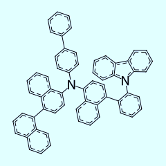 c1ccc(-c2ccc(N(c3ccc(-c4ccccc4-n4c5ccccc5c5ccccc54)c4ccccc34)c3ccc(-c4cccc5ccccc45)c4ccccc34)cc2)cc1